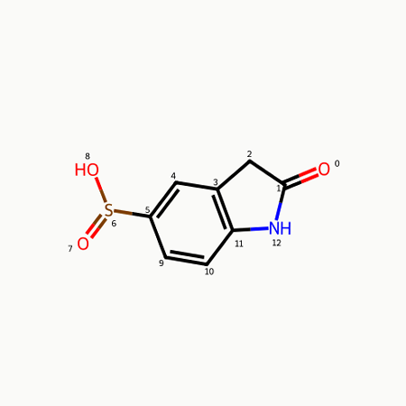 O=C1Cc2cc(S(=O)O)ccc2N1